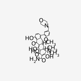 COc1ccc(CN2CCOCC2)cc1-c1ccc(O)c2c1C[C@H]1C[C@@H]3[C@H](N(C)C)C(O)=C(C(N)=O)C(=O)[C@@]3(O)C(O)=C1C2=O